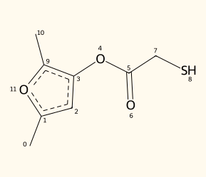 Cc1cc(OC(=O)CS)c(C)o1